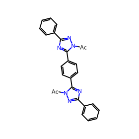 CC(=O)n1nc(-c2ccccc2)nc1-c1ccc(-c2nc(-c3ccccc3)nn2C(C)=O)cc1